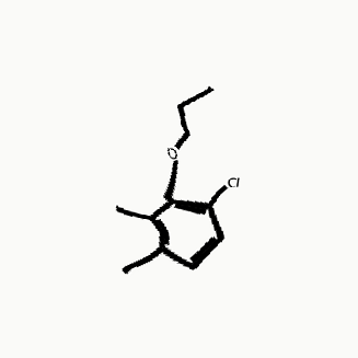 CCCOc1c(Cl)ccc(C)c1C